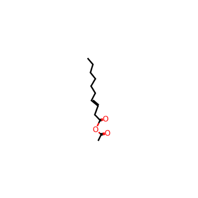 CCCCCCC=CCC(=O)OC(C)=O